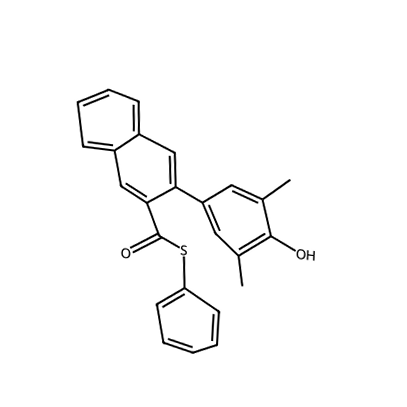 Cc1cc(-c2cc3ccccc3cc2C(=O)Sc2ccccc2)cc(C)c1O